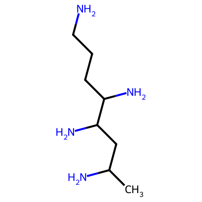 CC(N)CC(N)C(N)CCCN